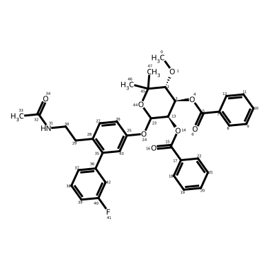 CO[C@@H]1[C@@H](OC(=O)c2ccccc2)[C@@H](OC(=O)c2ccccc2)C(Oc2ccc(CCNC(C)=O)c(-c3cccc(F)c3)c2)OC1(C)C